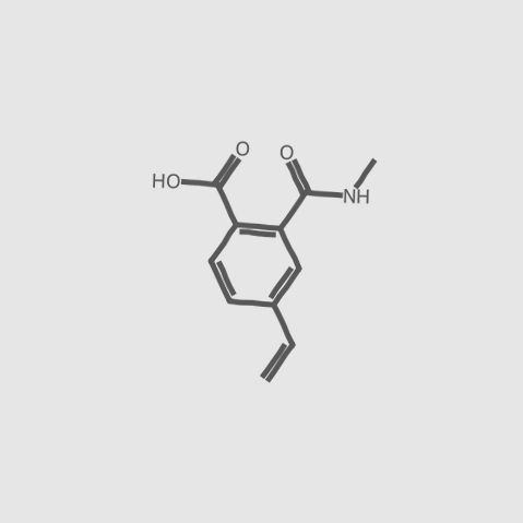 C=Cc1ccc(C(=O)O)c(C(=O)NC)c1